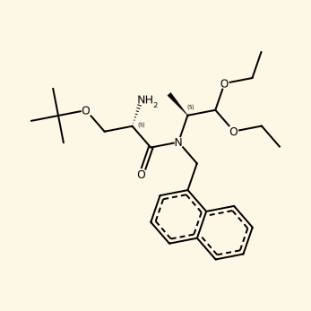 CCOC(OCC)[C@H](C)N(Cc1cccc2ccccc12)C(=O)[C@@H](N)COC(C)(C)C